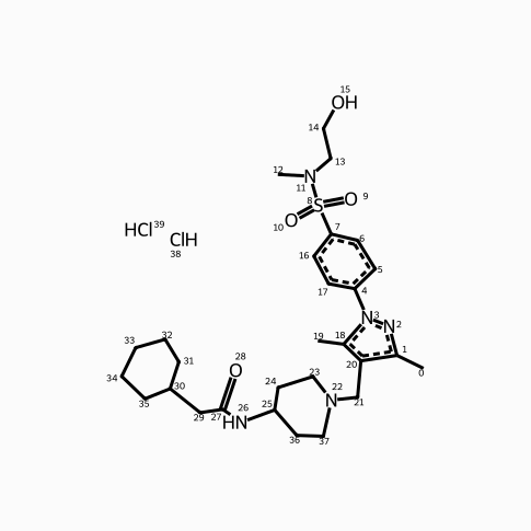 Cc1nn(-c2ccc(S(=O)(=O)N(C)CCO)cc2)c(C)c1CN1CCC(NC(=O)CC2CCCCC2)CC1.Cl.Cl